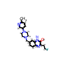 Cc1ccc(N2CCN(Cc3ccc4nc(CCF)c(=O)[nH]c4c3)CC2)cn1